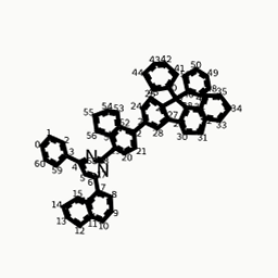 c1ccc(-c2cc(-c3cccc4ccccc34)nc(-c3ccc(-c4ccc5c(c4)-c4ccc6ccccc6c4C5(c4ccccc4)c4ccccc4)c4ccccc34)n2)cc1